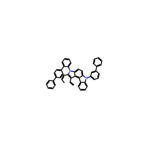 C=Cc1c(/C=C\C)n(-c2ccccc2-c2ccc(-c3ccccc3)cc2)c2ccc3c(c4ccccc4n3-c3cccc(-c4ccccc4)c3)c12